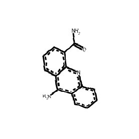 NC(=O)c1cccc2c(N)c3ccccc3nc12